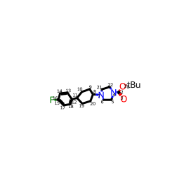 CC(C)(C)OC(=O)N1CCN(C2CCC(c3ccc(F)cc3)CC2)CC1